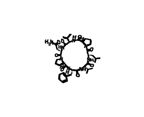 CC(C)C[C@@H]1NC(=O)[C@H](C(C)C)NC(=O)[C@H](Cc2ccccc2)NC(=O)[C@@H]2CCCN2C(=O)[C@H](CC(N)=O)NC(=O)[C@@H](C(C)C)NC(=O)[C@@H]2CCCN2C1=O